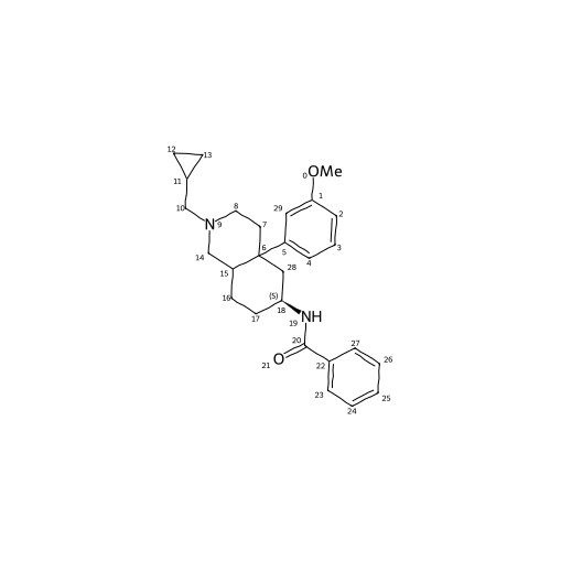 COc1cccc(C23CCN(CC4CC4)CC2CC[C@H](NC(=O)c2ccccc2)C3)c1